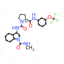 CNC(=O)n1cc(NC(=O)N2CCC[C@H]2C(=O)Nc2cccc(OC(F)(F)F)c2)c2ccccc21